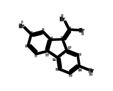 BrC(Br)=C1c2cc(Br)ccc2-c2ccc(Br)cc21